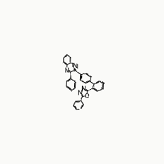 c1ccc(-c2nnc(-c3ccccc3-c3ccc(-c4nc5ccccc5nc4-c4ccccc4)cc3)o2)cc1